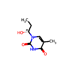 CC[C@@H](O)n1cc(C)c(=O)[nH]c1=O